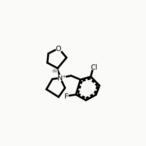 Fc1cccc(Cl)c1C[N+]1([C@H]2CCOC2)CCCC1